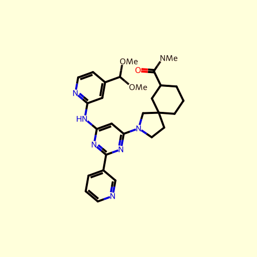 CNC(=O)C1CCCC2(CCN(c3cc(Nc4cc(C(OC)OC)ccn4)nc(-c4cccnc4)n3)C2)C1